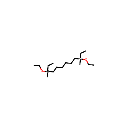 CCO[Si](C)(CC)CCCCCC[Si](C)(CC)OCC